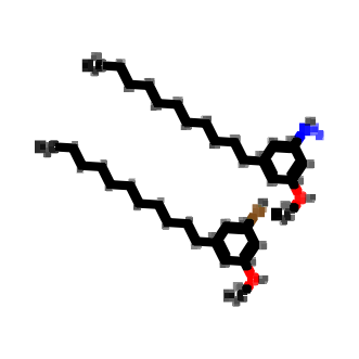 CCCCCCCCCCCc1cc(Br)cc(OC)c1.CCCCCCCCCCCc1cc(N)cc(OC)c1